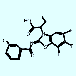 CCC(C(=O)O)n1c(=NC(=O)c2cccc(Cl)c2)sc2c(F)c(F)c(F)cc21